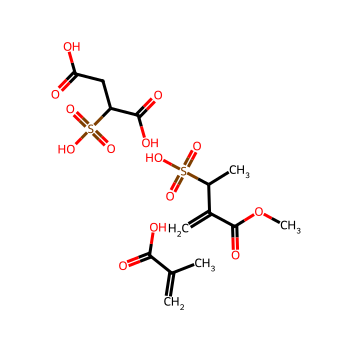 C=C(C(=O)OC)C(C)S(=O)(=O)O.C=C(C)C(=O)O.O=C(O)CC(C(=O)O)S(=O)(=O)O